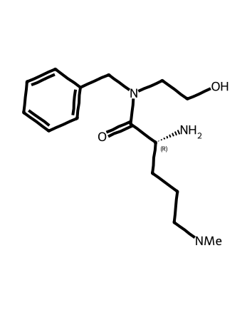 CNCCC[C@@H](N)C(=O)N(CCO)Cc1ccccc1